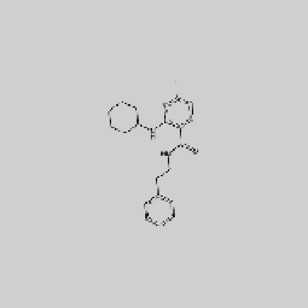 Cc1ncc(C(=O)NCCc2ccccc2)c(NC2CCCCC2)n1